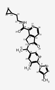 Cc1cnn(-c2ncc(C(C)N3Cc4c(ccnc4C(=O)NCCC4CC4)C3=O)cc2C)c1